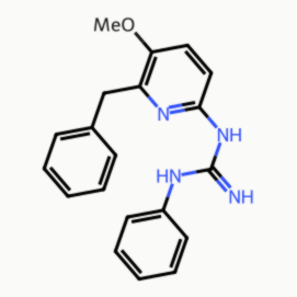 COc1ccc(NC(=N)Nc2ccccc2)nc1Cc1ccccc1